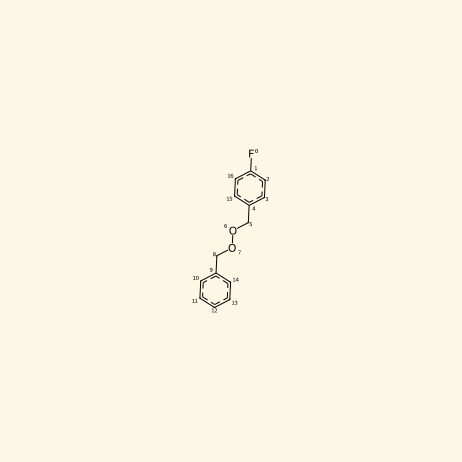 Fc1ccc(COOCc2ccccc2)cc1